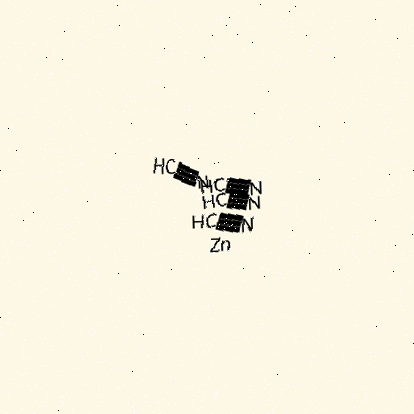 C#N.C#N.C#N.C#N.[Zn]